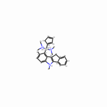 Cc1ccc2c(c3c(n2C)-c2ccccc2C3)[c]1[Zr]([C]1=CC=CC1)([N](C)C)[N](C)C